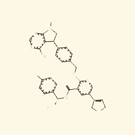 C[C@H](NC(=O)c1cc(C2=CCOC2)cnc1NCc1ccc(C2CN(C)c3ncnc(N)c32)cc1)c1ccc(F)cc1